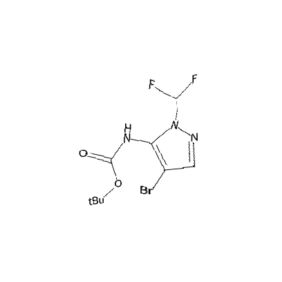 CC(C)(C)OC(=O)Nc1c(Br)cnn1C(F)F